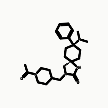 CC(=O)N1CCC(CN2C[C@]3(CC[C@](c4ccccc4)(N(C)C)CC3)NC2=O)CC1